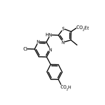 CCOC(=O)c1sc(Nc2nc(Cl)cc(-c3ccc(C(=O)O)cc3)n2)nc1C